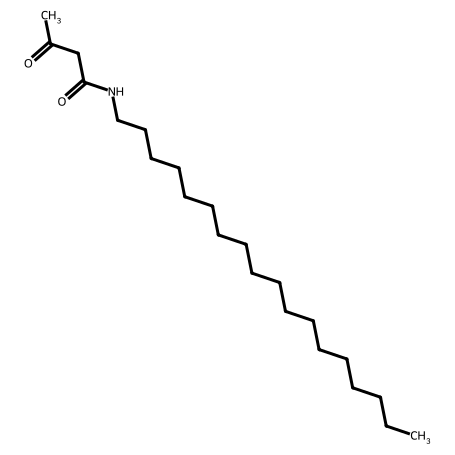 CCCCCCCCCCCCCCCCCCNC(=O)CC(C)=O